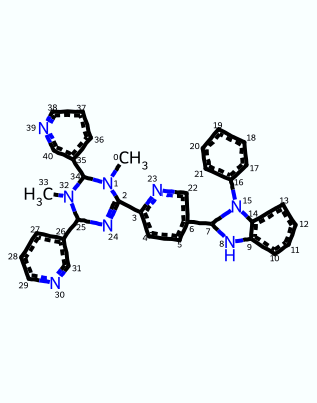 CN1C(c2ccc(C3Nc4ccccc4N3c3ccccc3)cn2)=NC(c2cccnc2)N(C)C1c1cccnc1